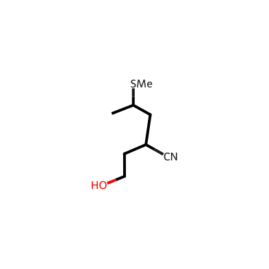 CSC(C)CC(C#N)CCO